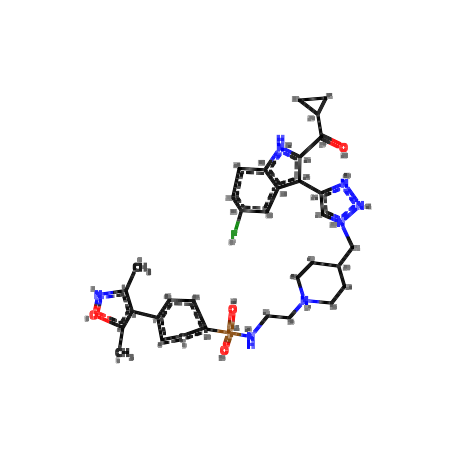 Cc1noc(C)c1-c1ccc(S(=O)(=O)NCCN2CCC(Cn3cc(-c4c(C(=O)C5CC5)[nH]c5ccc(F)cc45)nn3)CC2)cc1